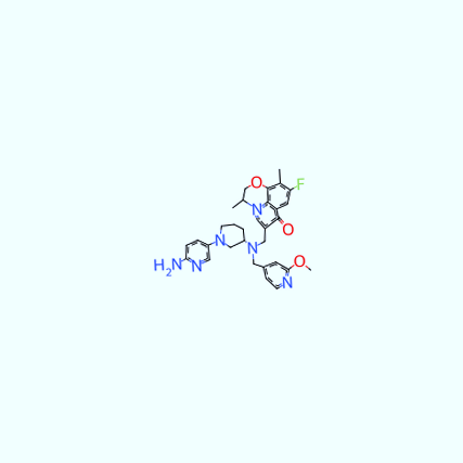 COc1cc(CN(Cc2cn3c4c(c(C)c(F)cc4c2=O)OCC3C)[C@H]2CCCN(c3ccc(N)nc3)C2)ccn1